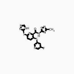 Cc1nsc(NC(=O)c2nc(Sc3nnc[nH]3)ccc2Sc2cncc(F)c2)n1